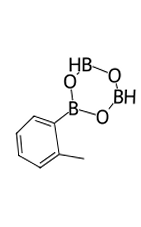 Cc1ccccc1B1OBOBO1